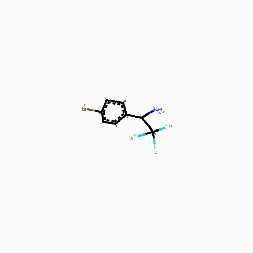 NC(c1ccc(Br)cc1)C(F)(F)F